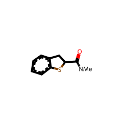 CNC(=O)C1Cc2ccccc2S1